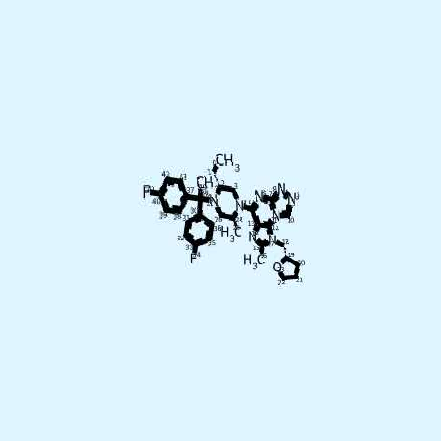 CC[C@@H]1CN(c2nc3nncn3c3c2nc(C)n3C[C@@H]2CCCO2)[C@@H](C)CN1C(C)(c1ccc(F)cc1)c1ccc(F)cc1